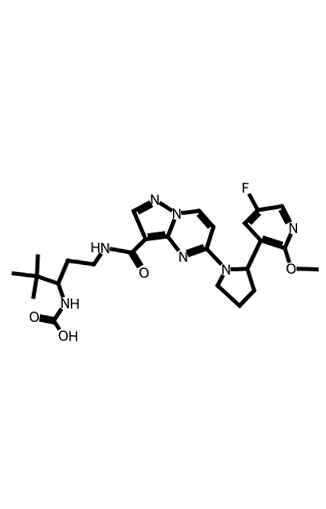 COc1ncc(F)cc1C1CCCN1c1ccn2ncc(C(=O)NCCC(NC(=O)O)C(C)(C)C)c2n1